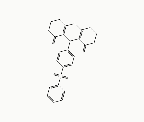 O=C1CCCC2=C1C(c1ccc(S(=O)(=O)c3ccccc3)cc1)C1=C(CCCC1=O)N2